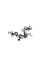 CN(CCC(F)(F)F)C(=O)OCc1c(-c2ccc(O[C@H]3CCC[C@H](C(=O)O)C3)c(C3CC3)n2)nnn1C